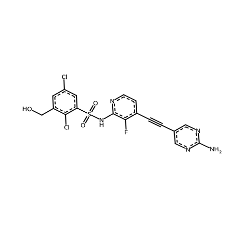 Nc1ncc(C#Cc2ccnc(NS(=O)(=O)c3cc(Cl)cc(CO)c3Cl)c2F)cn1